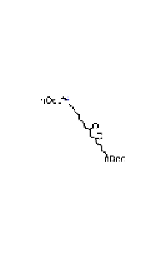 CCCCCCCC/C=C\CCCCCCCC(=O)CC(=O)CCCCCCCCCCCCCC